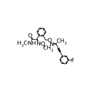 CNC(=O)/C(=N/OC)c1ccccc1CO/N=C(\C)C#Cc1cccc(F)c1